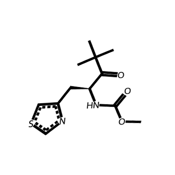 COC(=O)N[C@@H](Cc1cscn1)C(=O)C(C)(C)C